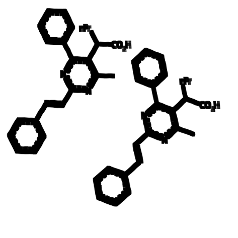 CCCC(C(=O)O)c1c(C)nc(/C=C/c2ccccc2)nc1-c1ccccc1.CCCC(C(=O)O)c1c(C)nc(C=Cc2ccccc2)nc1-c1ccccc1